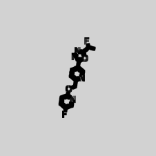 CC(F)c1nnc(-c2ccc(COc3ccc(F)cn3)nc2)o1